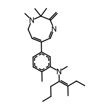 C=C1/N=C\C(c2ccc(C)c(N(C)/C(CCC)=C(/C)CC)c2)=C/CN(C)C1(C)C